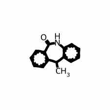 CC1c2ccccc2NC(=O)c2ccccc21